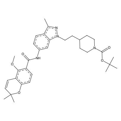 COc1c(C(=O)Nc2ccc3c(C)nn(CCC4CCN(C(=O)OC(C)(C)C)CC4)c3c2)ccc2c1C=CC(C)(C)O2